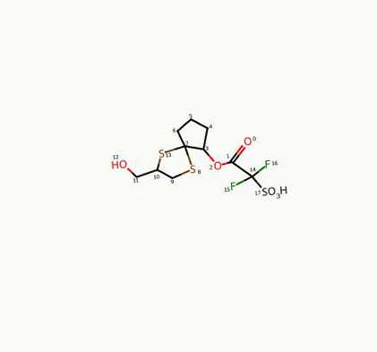 O=C(OC1CCCC12SCC(CO)S2)C(F)(F)S(=O)(=O)O